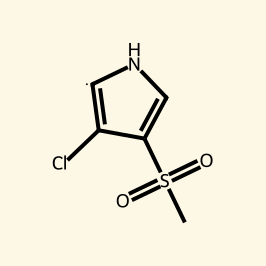 CS(=O)(=O)c1c[nH][c]c1Cl